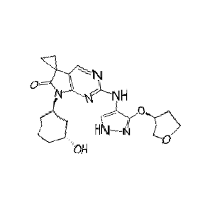 O=C1N([C@@H]2CCC[C@@H](O)C2)c2nc(Nc3c[nH]nc3O[C@H]3CCOC3)ncc2C12CC2